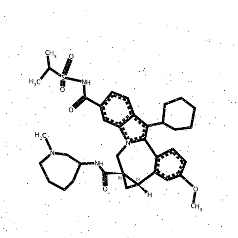 COc1ccc2c(c1)[C@@H]1C[C@]1(C(=O)NC1CCCCN(C)C1)Cn1c-2c(C2CCCCC2)c2ccc(C(=O)NS(=O)(=O)C(C)C)cc21